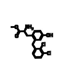 COC(=O)[C@@H](N)Cc1ccc(O)cc1Cc1cccc(Cl)c1Cl